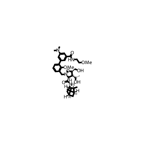 COCCNC(=O)c1cc(-c2cccc(CN3O[C@@H](CO)[C@@H]([C@H](C)O)[C@H]3C(=O)N[C@H]3C[C@H]4C[C@@H]([C@@H]3C)C4(C)C)c2OC)cc(N(C)C)c1